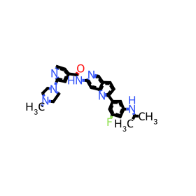 CC(C)Nc1cc(F)cc(-c2ccc3cnc(NC(=O)c4ccnc(N5CCN(C)CC5)c4)cc3n2)c1